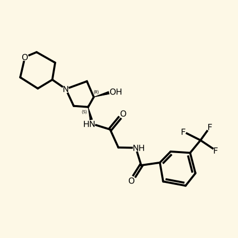 O=C(CNC(=O)c1cccc(C(F)(F)F)c1)N[C@H]1CN(C2CCOCC2)C[C@H]1O